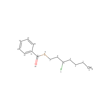 CCCCC(F)CCSC(=O)c1ccccc1